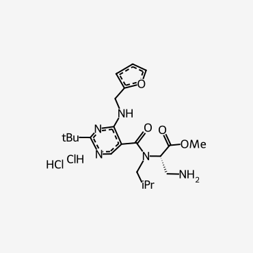 COC(=O)[C@H](CN)N(CC(C)C)C(=O)c1cnc(C(C)(C)C)nc1NCc1ccco1.Cl.Cl